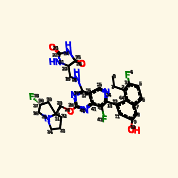 CCc1c(F)ccc2cc(O)cc(-c3ncc4c(NCC5NC(=O)NC5=O)nc(OC[C@@]56CCCN5C[C@H](F)C6)nc4c3F)c12